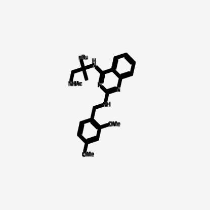 CCCCC(C)(CNC(C)=O)Nc1nc(NCc2ccc(OC)cc2OC)nc2ccccc12